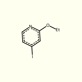 CCOc1cc(I)ccn1